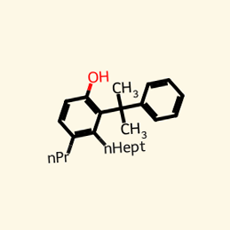 CCCCCCCc1c(CCC)ccc(O)c1C(C)(C)c1ccccc1